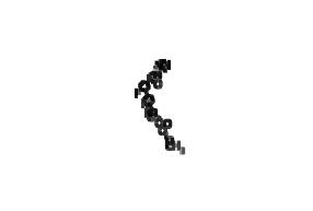 COCCOC(=O)OC[C@@H]1CC(c2ccc(-c3cc(N4C[C@H](Cn5ccnn5)OC4=O)ccc3F)cn2)=NO1